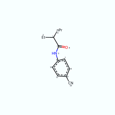 CCCC(CC)C(=O)Nc1ccc(C#N)cc1